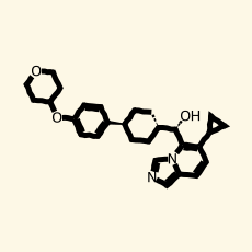 O[C@H](c1c(C2CC2)ccc2cncn12)[C@H]1CC[C@H](c2ccc(OC3CCOCC3)cc2)CC1